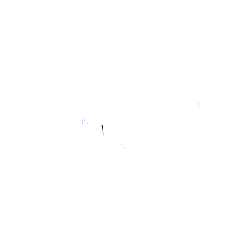 COc1ccc(S(=O)(=O)N2CCC[C@H]2C(=O)NC2CCc3ccccc32)cc1